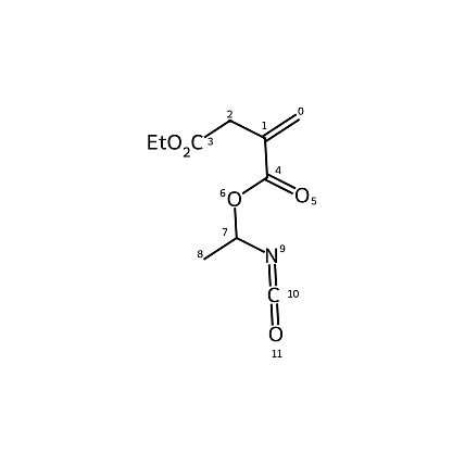 C=C(CC(=O)OCC)C(=O)OC(C)N=C=O